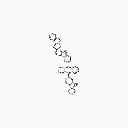 c1ccc2c(c1)oc1cc(-c3c4ccccc4c(-c4ccc5sc6c7cc8sc9ccccc9c8cc7ccc6c5c4)c4ccccc34)ccc12